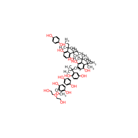 CC(C)(C)c1c(O)ccc(O)c1C(C)(C)C.CC(C)(C)c1cc(O)ccc1O.CCC(C)(C)c1c(O)ccc(O)c1C(C)(C)CC.COC.OCCOCCO.Oc1ccc(O)cc1.Oc1ccc(O)cc1.Oc1ccc(O)cc1